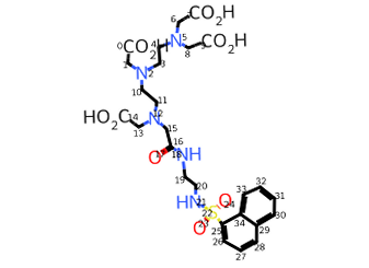 O=C(O)CN(CCN(CC(=O)O)CC(=O)O)CCN(CC(=O)O)CC(=O)NCCNS(=O)(=O)c1cccc2ccccc12